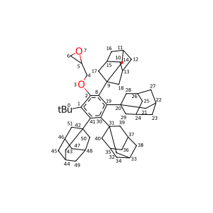 CC(C)(C)c1c(OCC2CO2)c(C23CC4CC(CC(C4)C2)C3)c(C23CC4CC(CC(C4)C2)C3)c(C23CC4CC(CC(C4)C2)C3)c1C12CC3CC(CC(C3)C1)C2